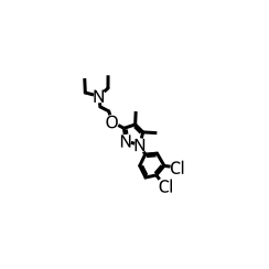 CCN(CC)CCOc1nn(-c2ccc(Cl)c(Cl)c2)c(C)c1C